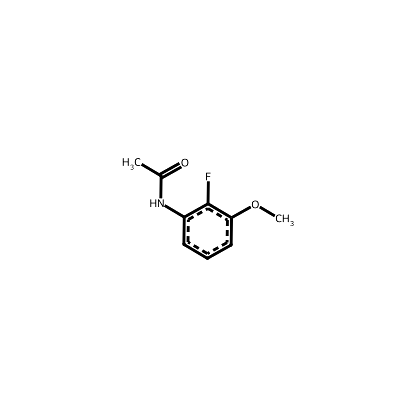 COc1cccc(NC(C)=O)c1F